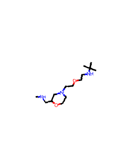 CNCC1CN(CCOCCNC(C)(C)C)CCO1